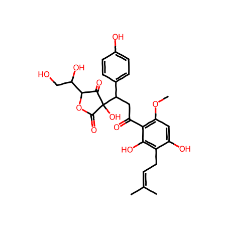 COc1cc(O)c(CC=C(C)C)c(O)c1C(=O)CC(c1ccc(O)cc1)C1(O)C(=O)OC(C(O)CO)C1=O